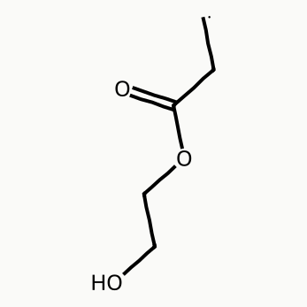 [CH2]CC(=O)OCCO